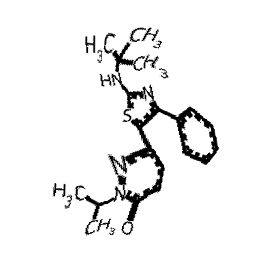 CC(C)n1nc(-c2sc(NC(C)(C)C)nc2-c2ccccc2)ccc1=O